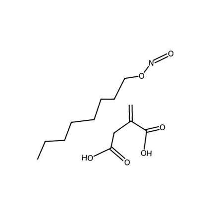 C=C(CC(=O)O)C(=O)O.CCCCCCCCON=O